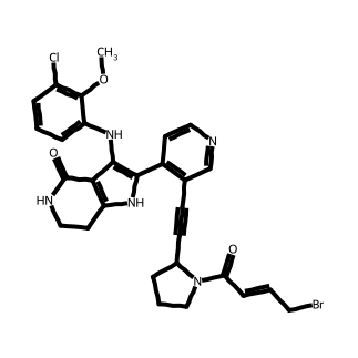 COc1c(Cl)cccc1Nc1c(-c2ccncc2C#CC2CCCN2C(=O)C=CCBr)[nH]c2c1C(=O)NCC2